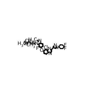 Cc1nc2ccc(Oc3ccc4ncc(-c5cnn(C6CCC(F)(F)CC6)c5)nc4c3Cl)c(F)c2n1COCC[Si](C)(C)C